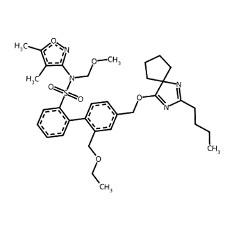 CCCCC1=NC2(CCCC2)C(OCc2ccc(-c3ccccc3S(=O)(=O)N(COC)c3noc(C)c3C)c(COCC)c2)=N1